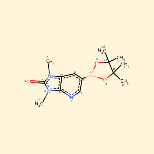 Cn1c(=O)n(C)c2ncc(B3OC(C)(C)C(C)(C)O3)cc21